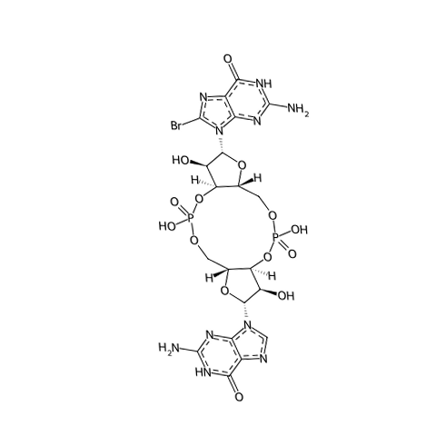 Nc1nc2c(ncn2[C@@H]2O[C@@H]3COP(=O)(O)O[C@H]4[C@@H](O)[C@H](n5c(Br)nc6c(=O)[nH]c(N)nc65)O[C@@H]4COP(=O)(O)O[C@H]3[C@H]2O)c(=O)[nH]1